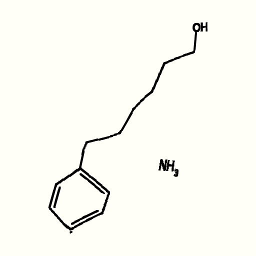 N.OCCCCCCc1cc[c]cc1